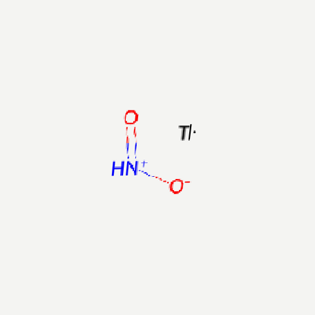 O=[NH+][O-].[Tl]